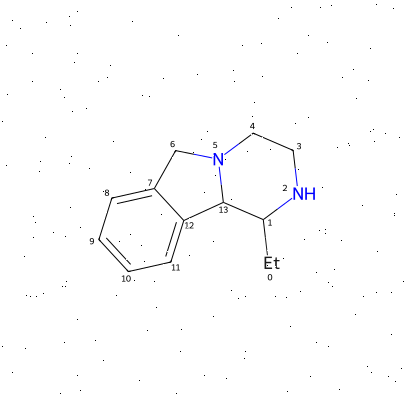 CCC1NCCN2Cc3ccccc3C12